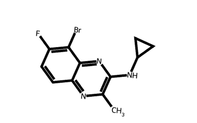 Cc1nc2ccc(F)c(Br)c2nc1NC1CC1